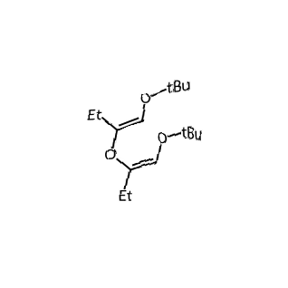 CCC(=COC(C)(C)C)OC(=COC(C)(C)C)CC